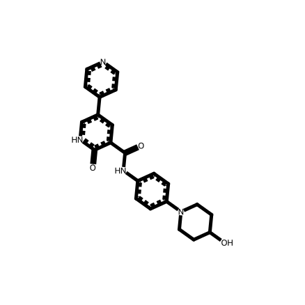 O=C(Nc1ccc(N2CCC(O)CC2)cc1)c1cc(-c2ccncc2)c[nH]c1=O